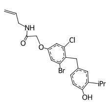 C=CCNC(=O)COc1cc(Cl)c(Cc2ccc(O)c(C(C)C)c2)c(Br)c1